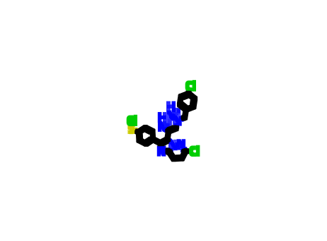 N/C(=C\N(N)Cc1ccc(Cl)cc1)c1c(-c2ccc(SCl)cc2)nc2ccc(Cl)nn12